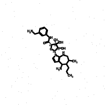 CCCC1C(C)CNc2c(ccn2[C@@H]2O[C@H](C(=O)Nc3cccc(CN)c3)[C@@](C)(O)[C@H]2O)C1N